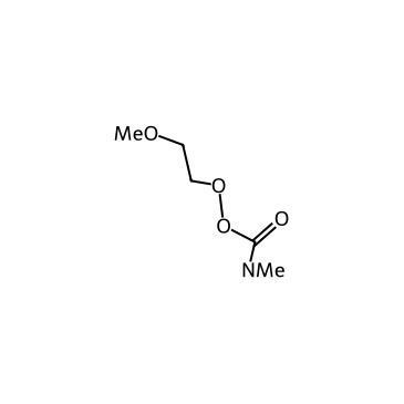 CNC(=O)OOCCOC